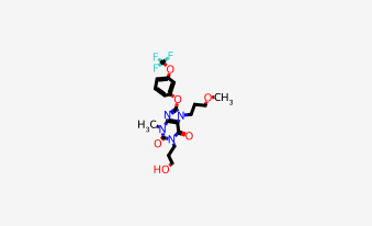 COCCCn1c(Oc2cccc(OC(F)(F)F)c2)nc2c1c(=O)n(CCCO)c(=O)n2C